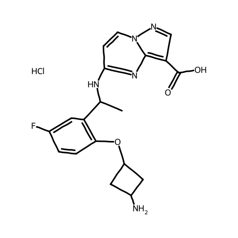 CC(Nc1ccn2ncc(C(=O)O)c2n1)c1cc(F)ccc1OC1CC(N)C1.Cl